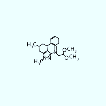 COC(CNc1nn(C)c2c1C(c1ccccc1)CC(C)C2)OC